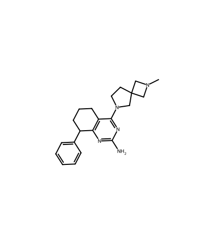 CN1CC2(CCN(c3nc(N)nc4c3CCCC4c3ccccc3)C2)C1